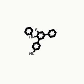 N#Cc1ccc(-c2cc(-c3ccccc3)cc(F)c2Nc2ccccc2)cc1